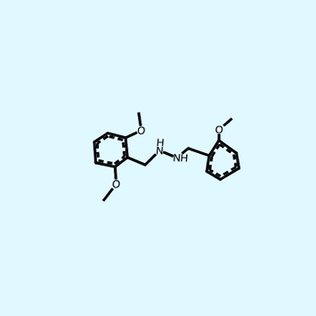 COc1ccccc1CNNCc1c(OC)cccc1OC